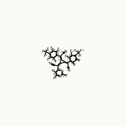 N#CC(=C1C(=C(\C#N)c2c(F)c(F)c(C(F)(F)F)c(F)c2F)/C1=C(\C#N)c1c(F)c(F)c(C(F)(F)F)c(F)c1F)c1nc(F)nc(F)c1F